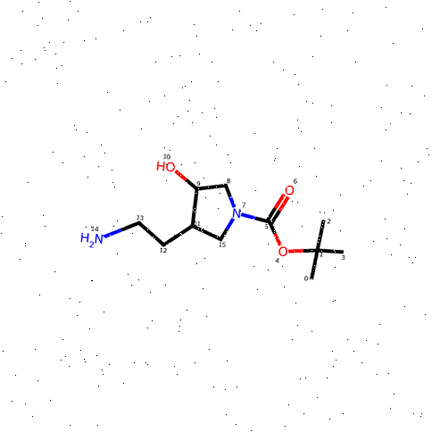 CC(C)(C)OC(=O)N1CC(O)C(CCN)C1